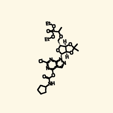 CCOP(=O)(OCC)C(C)OC[C@H]1O[C@@H](n2ncc3c(OC(=O)NC4CCCC4)nc(Cl)nc32)[C@@H]2OC(C)(C)O[C@@H]21